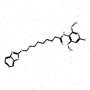 Cc1cc(SC(C)C)c(NC(=O)CCCCCCCCSc2nc3ccccc3s2)c(SC(C)C)n1